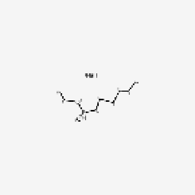 CCCCCC[PH](=O)OCC.[NaH]